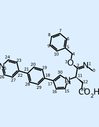 CN=C(OCc1ccccc1)[C@@H](CC(=O)O)n1ccc(-c2ccc(-c3ccncc3)cc2)c1